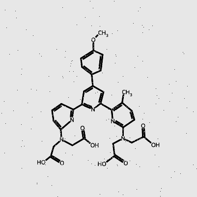 COc1ccc(-c2cc(-c3cccc(N(CC(=O)O)CC(=O)O)n3)nc(-c3nc(N(CC(=O)O)CC(=O)O)ccc3C)c2)cc1